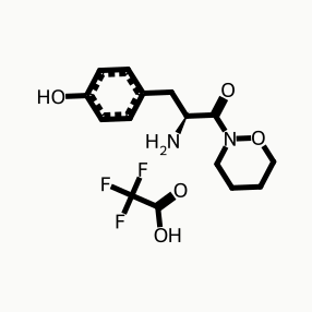 N[C@@H](Cc1ccc(O)cc1)C(=O)N1CCCCO1.O=C(O)C(F)(F)F